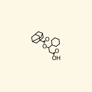 O=C(O)CC(OC(=O)C12CC3CC(CC(C3)C1)C2)C1CCCCC1